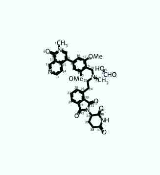 COc1cc(-c2cn(C)c(=O)c3cnccc23)cc(OC)c1CN(C)CCc1cccc2c1C(=O)N(C1CCC(=O)NC1=O)C2=O.O=CO